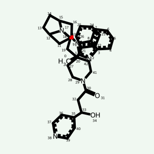 Cc1nc2ccccc2n1C1CC2CCC(C1)N2CCC1(c2ccccc2)CCN(C(=O)CC(O)c2ccncc2)CC1